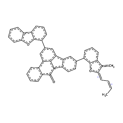 C=c1/c(=C\C=C/C)oc2c(-c3ccc4c(c3)c3cc(-c5cccc6c5oc5ccccc56)cc5c6ccccc6c(=O)n4c53)cccc12